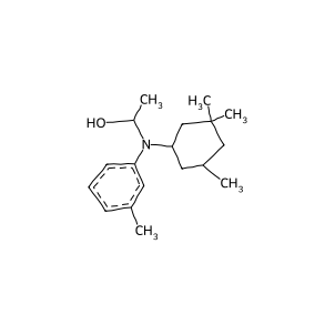 Cc1cccc(N(C(C)O)C2CC(C)CC(C)(C)C2)c1